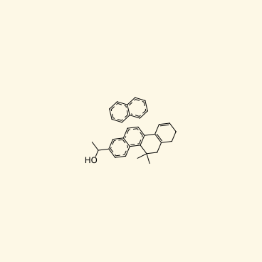 CC(O)c1ccc2c3c(ccc2c1)C1=C(CCC=C1)CC3(C)C.c1ccc2ccccc2c1